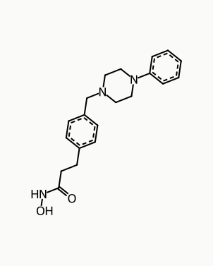 O=C(CCc1ccc(CN2CCN(c3ccccc3)CC2)cc1)NO